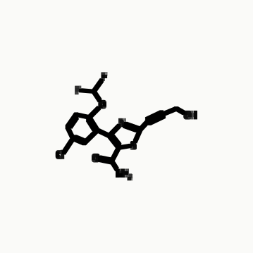 NC(=O)c1sc(C#CCO)nc1-c1cc(Cl)ccc1OC(F)F